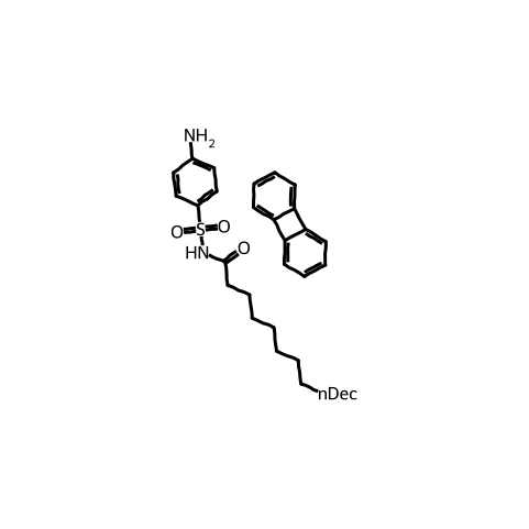 CCCCCCCCCCCCCCCCCC(=O)NS(=O)(=O)c1ccc(N)cc1.c1ccc2c(c1)-c1ccccc1-2